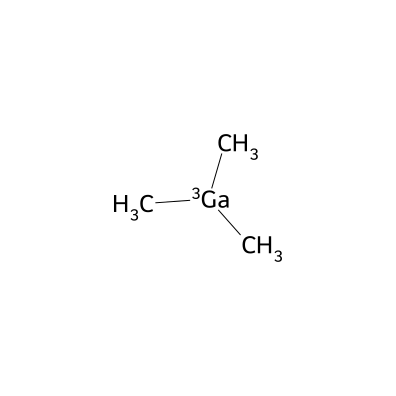 [CH3][3Ga]([CH3])[CH3]